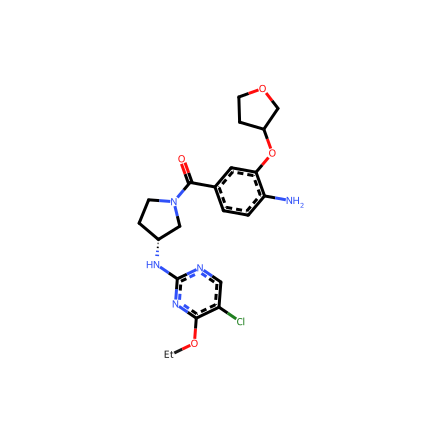 CCOc1nc(N[C@@H]2CCN(C(=O)c3ccc(N)c(OC4CCOC4)c3)C2)ncc1Cl